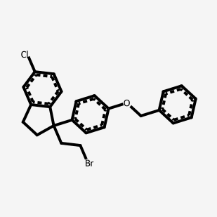 Clc1ccc2c(c1)CCC2(CCBr)c1ccc(OCc2ccccc2)cc1